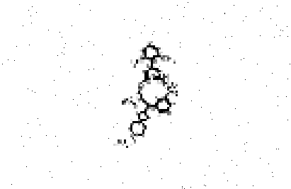 CCOC(=O)N1CCC2(CC1)CC(C1c3cccc(c3)S(=O)(=O)Nc3nc(cc(-c4c(C)cccc4C)n3)OC[C@H]1CC(C)C)C2